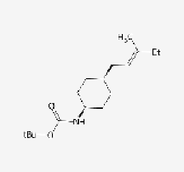 CC/C(C)=C/C[C@H]1CC[C@@H](NC(=O)OC(C)(C)C)CC1